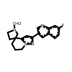 O=CN1CCC2(CCCn3nc(-c4cnc5cc(F)ccc5c4)cc32)C1